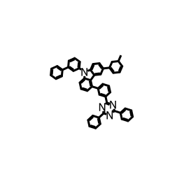 CC1C=CC=C(c2ccc3c(c2)c2c(-c4cccc(-c5nc(-c6ccccc6)nc(-c6ccccc6)n5)c4)cccc2n3-c2cccc(-c3ccccc3)c2)C1